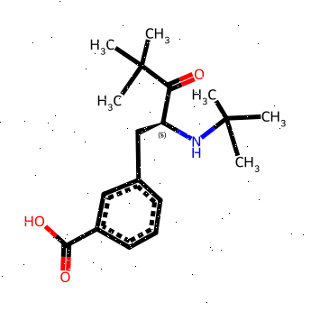 CC(C)(C)N[C@@H](Cc1cccc(C(=O)O)c1)C(=O)C(C)(C)C